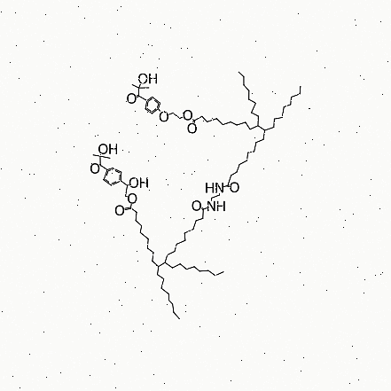 CCCCCCCCC(CCCCCCCCC(=O)NCCNC(=O)CCCCCCCCC(CCCCCCCC)C(CCCCCCCC)CCCCCCCCC(=O)OCC(O)c1ccc(C(=O)C(C)(C)O)cc1)C(CCCCCCCC)CCCCCCCCC(=O)OCCOc1ccc(C(=O)C(C)(C)O)cc1